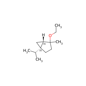 CCOC1(C)CC[C@@]2(C(C)C)C[C@H]12